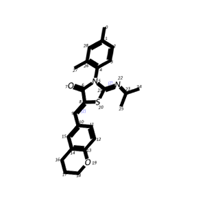 Cc1ccc(N2C(=O)/C(=C/c3ccc4c(c3)CCCO4)S/C2=N\C(C)C)c(C)c1